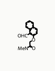 CNC(=O)COc1ccc2ccccc2c1C=O